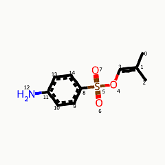 CC(C)=COS(=O)(=O)c1ccc(N)cc1